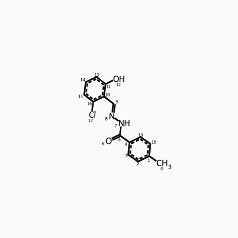 Cc1ccc(C(=O)N/N=C/c2c(O)cccc2Cl)cc1